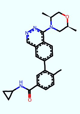 Cc1ccc(C(=O)NC2CC2)cc1-c1ccc2c(N3C[C@H](C)OC[C@@H]3C)nncc2c1